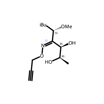 C#CCO/N=C(/[C@@H](OC)C(C)CC)[C@@H](O)[C@@H](C)O